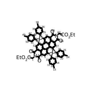 CCOC(=O)CN1C(=O)c2cc(Oc3ccc(C)cc3)c3c4c(Oc5ccc(C)cc5)cc5c6c(cc(Oc7ccc(C)cc7)c(c7c(Oc8ccc(C)cc8)cc(c2c37)C1=O)c64)C(=O)N(CC(=O)OCC)C5=O